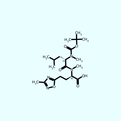 Cc1noc(CC[C@H](C(=O)O)N(C)C(=O)[C@H](CC(C)C)N(C)C(=O)OC(C)(C)C)n1